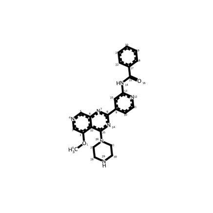 COc1cncc2nc(-c3ccnc(NC(=O)c4ccccc4)c3)nc(N3CCNCC3)c12